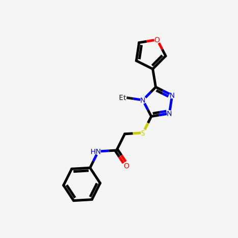 CCn1c(SCC(=O)Nc2ccccc2)nnc1-c1ccoc1